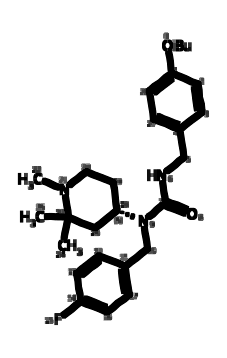 CC(C)COc1ccc(CNC(=O)N(Cc2ccc(F)cc2)[C@H]2CCN(C)C(C)(C)C2)cc1